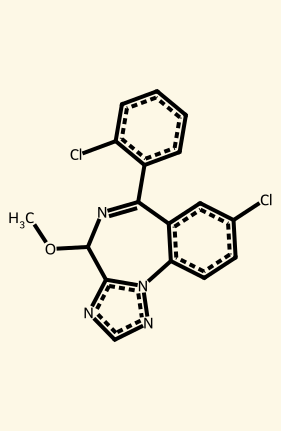 COC1N=C(c2ccccc2Cl)c2cc(Cl)ccc2-n2ncnc21